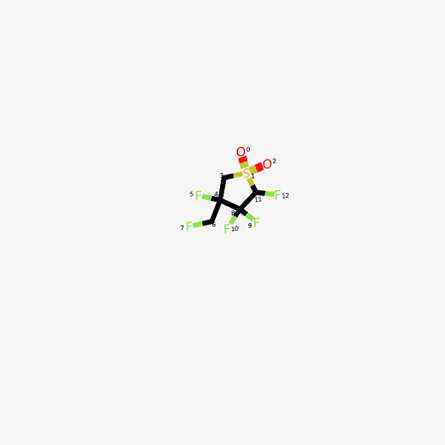 O=S1(=O)CC(F)(CF)C(F)(F)C1F